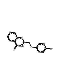 O=c1[nH]c(COc2ccc(Br)nc2)nc2cnccc12